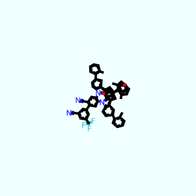 Cc1ccccc1-c1ccc2c(c1)c1cc(-c3ccccc3C)ccc1n2-c1cc(C#N)c(-c2cc(C#N)cc(C(F)(F)F)c2)cc1-n1c2ccc(-c3ccccc3C)cc2c2cc(-c3ccccc3C)ccc21